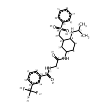 CC(C)N[C@H]1CCC(NC(=O)CNC(=O)c2cccc(C(F)(F)F)c2)CC1CS(=O)(=O)c1ccccc1